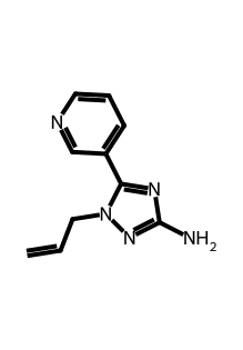 C=CCn1nc(N)nc1-c1cccnc1